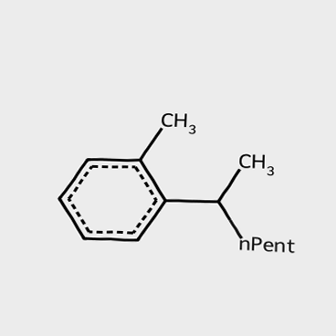 CCCCCC(C)c1ccccc1C